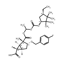 CC[C@@H]1C[C@H](OC(=O)OC(C)OC(=O)[C@@]2(N)[C@H]3[C@@H](C[C@H]2OCc2ccc(F)cc2)[C@]3(F)C(=O)O)C(C)(C)C1(C)C